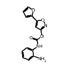 Nc1ccccc1NC(=O)Oc1cc(-c2ccco2)on1